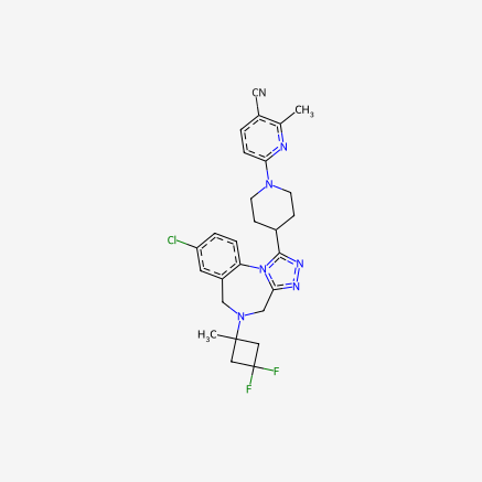 Cc1nc(N2CCC(c3nnc4n3-c3ccc(Cl)cc3CN(C3(C)CC(F)(F)C3)C4)CC2)ccc1C#N